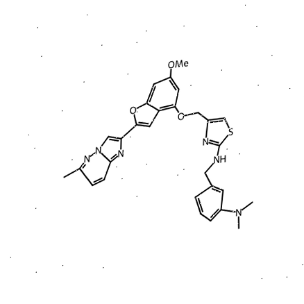 COc1cc(OCc2csc(NCc3cccc(N(C)C)c3)n2)c2cc(-c3cn4nc(C)ccc4n3)oc2c1